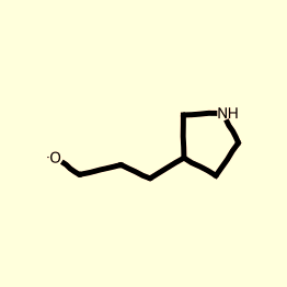 [O]CCCC1CCNC1